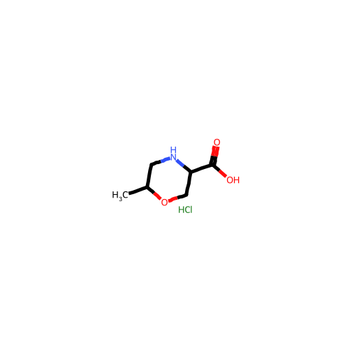 CC1CNC(C(=O)O)CO1.Cl